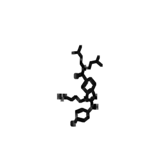 CC(C)CCN(CCC(C)C)C(=O)c1ccc2nc(Nc3ccc(Cl)cc3)n(CCCN)c2c1